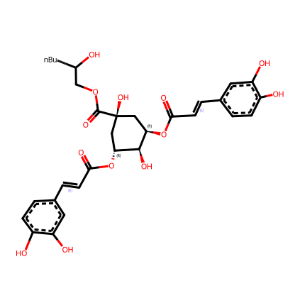 CCCCC(O)COC(=O)[C@]1(O)C[C@@H](OC(=O)/C=C/c2ccc(O)c(O)c2)[C@@H](O)[C@H](OC(=O)/C=C/c2ccc(O)c(O)c2)C1